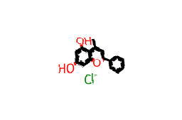 Cc1cc(-c2ccccc2)[o+]c2cc(O)cc(O)c12.[Cl-]